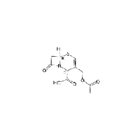 CC(=O)OCC1=CS[C@@H]2CC(=O)N2[C@H]1C(=O)O